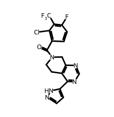 O=C(c1ccc(F)c(C(F)(F)F)c1Cl)N1CCc2c(ncnc2-c2ccn[nH]2)C1